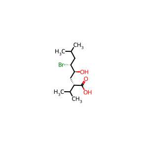 CC(C)C[C@@H](Br)[C@@H](O)C[C@H](C(=O)O)C(C)C